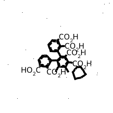 C1CCCCC1.Cc1c(C)c(-c2cccc(C(=O)O)c2C(=O)O)c(-c2cccc(C(=O)O)c2C(=O)O)c(C(=O)O)c1C(=O)O